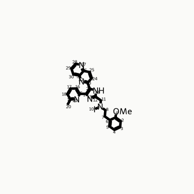 COc1ccccc1CCN(I)Cc1nc(-c2cccc(C)n2)c(-c2ccc3ncccc3n2)[nH]1